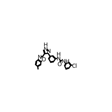 Cc1ccc2nc(-c3c[nH]nc3-c3cccc(NC(=O)Nc4cccc(Cl)c4)c3)oc2c1